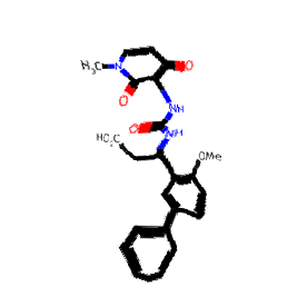 COc1ccc(-c2ccccc2)cc1C(CC(=O)O)NC(=O)NC1C(=O)C=CN(C)C1=O